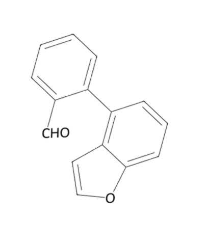 O=Cc1ccccc1-c1cccc2occc12